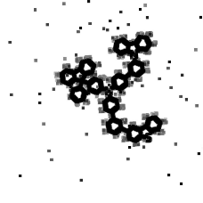 c1ccc(C2(c3ccc(N(c4ccc(-c5cccc(-c6ccc7sc8ccccc8c7c6)c5)cc4)c4ccc(-c5cccc(-n6c7ccccc7c7ccccc76)c5)cc4)cc3)c3ccccc3-c3ccccc32)cc1